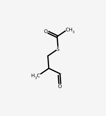 CC(=O)SCC(C)[C]=O